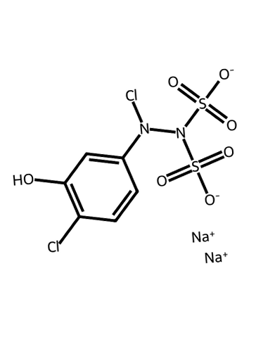 O=S(=O)([O-])N(N(Cl)c1ccc(Cl)c(O)c1)S(=O)(=O)[O-].[Na+].[Na+]